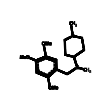 COc1cc(OC)c(OC)cc1CN(C)C1CCN(C)CC1